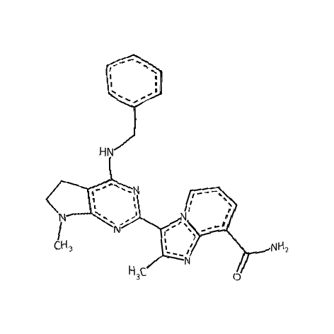 Cc1nc2c(C(N)=O)cccn2c1-c1nc(NCc2ccccc2)c2c(n1)N(C)CC2